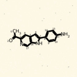 CC(=O)c1cc2cc(-c3ccc(N)cc3)[nH]c2cn1